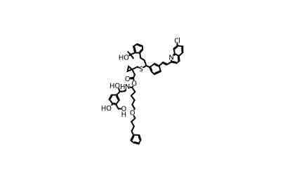 CC(C)(O)c1ccccc1CCC(SCC1(CC(=O)OC(CCCCCOCCCCc2ccccc2)NCC(O)c2ccc(O)c(CO)c2)CC1)c1cccc(C=Cc2ccc3ccc(Cl)cc3n2)c1